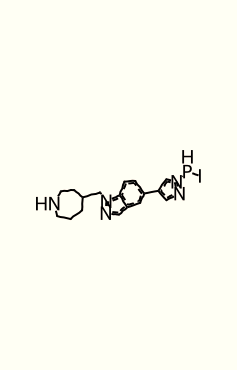 IPn1cc(-c2ccc3c(cnn3CC3CCCNCC3)c2)cn1